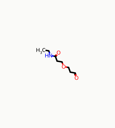 CCNC(=O)CCOCCC=O